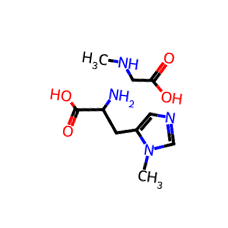 CNCC(=O)O.Cn1cncc1CC(N)C(=O)O